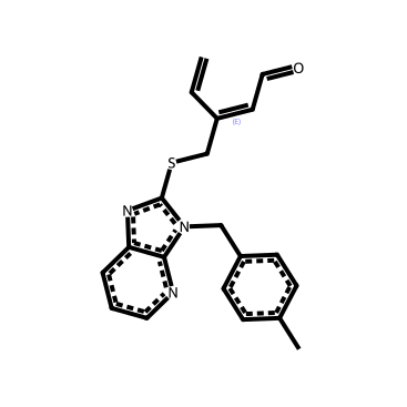 C=C/C(=C\C=O)CSc1nc2cccnc2n1Cc1ccc(C)cc1